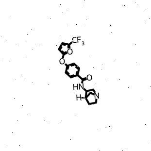 O=C(NC1CN2CC[C@H]1C2)c1ccc(Oc2ccc(C(F)(F)F)o2)cc1